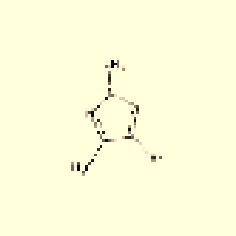 CC(=O)c1cn(C)nc1C